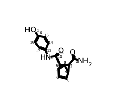 NC(=O)C1C2C=CC(C2)C1C(=O)Nc1ccc(O)cc1